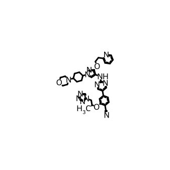 C[C@@H](Cn1cnnn1)Oc1cc(-c2cnc(Nc3cn(C4CCC(N5CCOCC5)CC4)nc3OCCc3ccccn3)nc2)ccc1C#N